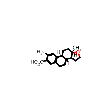 Cc1cc2c(cc1C(=O)O)CC[C@@H]1[C@@H]2CC[C@]2(C)OCC[C@@H]12